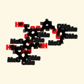 COCC1O[C@@H](OCc2cccc(CO[C@@H]3OC(CCO)[C@@H](O[C@H]4OC(CCO)[C@@H](O[C@H]5OC(CCO)[C@@H](OC)[C@@H](OC)C5OC)[C@@H](OC)C4OC)[C@@H](OC)C3OC)c2)C(OC)C(OC)[C@@H]1OC